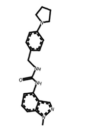 Cn1ncc2c(NC(=O)NCc3ccc(N4CCCC4)cc3)cccc21